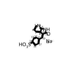 O=C1Nc2ncccc2C1=Cc1ccc(S(=O)(=O)O)cc1.[Na]